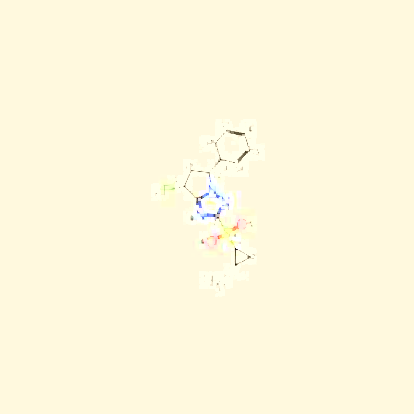 C[C@H]1C[C@@H]1S(=O)(=O)c1nc2n(n1)[C@H](C1C=CC=CC1)C[C@@H]2F